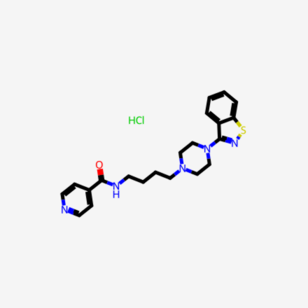 Cl.O=C(NCCCCN1CCN(c2nsc3ccccc23)CC1)c1ccncc1